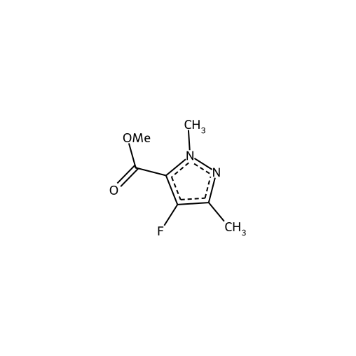 COC(=O)c1c(F)c(C)nn1C